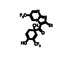 CCc1nc2ncc(C(F)(F)F)cn2c1C(=O)C1(C)C=C(C(F)(F)F)C(O)=CC1